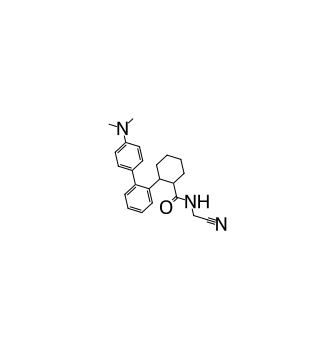 CN(C)c1ccc(-c2ccccc2C2CCCCC2C(=O)NCC#N)cc1